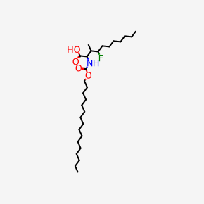 CCCCCCCCCCCCCCCCOC(=O)NC(C(=O)O)C(C)C(F)CCCCCCC